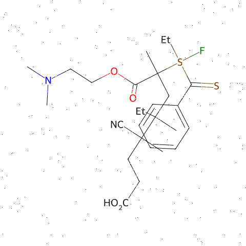 CCC(C)(CC(C)(C(=O)OCCN(C)C)S(F)(CC)C(=S)c1ccccc1)C(C)(C#N)CCC(=O)O